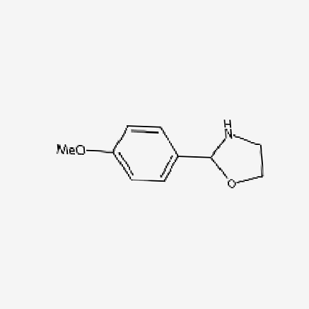 COc1ccc(C2NCCO2)cc1